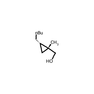 CCCCC[C@H]1C[C@@]1(C)CO